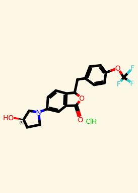 Cl.O=C1OC(Cc2ccc(OC(F)(F)F)cc2)c2ccc(N3CC[C@@H](O)C3)cc21